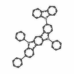 c1ccc(-c2ccc3c4cc5c(cc4n(-c4ccccc4)c3c2)c2cc(-n3c4ccccc4c4ccccc43)ccc2n5-c2ccccc2)cc1